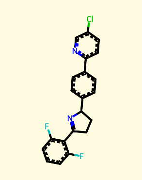 Fc1cccc(F)c1C1=NC(c2ccc(-c3ccc(Cl)cn3)cc2)CC1